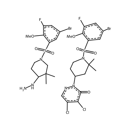 COc1c(F)cc(Br)cc1S(=O)(=O)N1CCC(NN)C(C)(C)C1.COc1c(F)cc(Br)cc1S(=O)(=O)N1CCC(n2ncc(Cl)c(Cl)c2=O)CC1(C)C